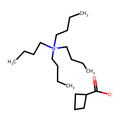 CCCC[N+](CCCC)(CCCC)CCCC.O=C([O-])C1CCC1